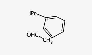 CC(C)c1ccccc1.CC=O